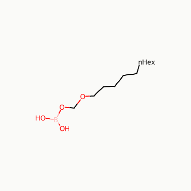 CCCCCCCCCCCOCOB(O)O